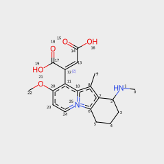 CNC1CCCc2c1c(C)c1c(/C(=C/C(=O)O)C(=O)O)c(OC)ccn21